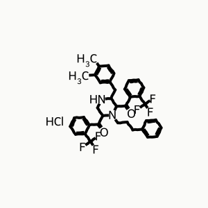 Cc1ccc(CC2NCC(C(=O)c3ccccc3C(F)(F)F)N(CCCc3ccccc3)C2C(=O)c2ccccc2C(F)(F)F)cc1C.Cl